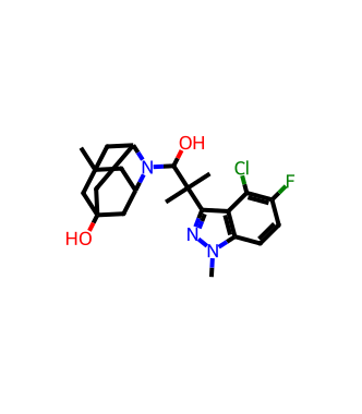 Cn1nc(C(C)(C)C(O)N2C3CC4(C)CC2CC(O)(C3)C4)c2c(Cl)c(F)ccc21